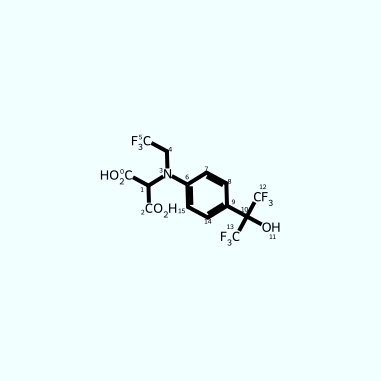 O=C(O)C(C(=O)O)N(CC(F)(F)F)c1ccc(C(O)(C(F)(F)F)C(F)(F)F)cc1